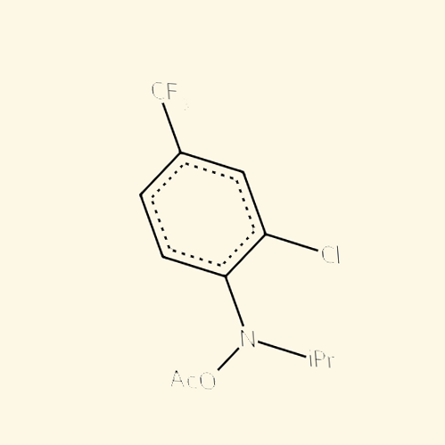 CC(=O)ON(c1ccc(C(F)(F)F)cc1Cl)C(C)C